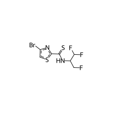 FCC(NC(=S)c1nc(Br)cs1)C(F)F